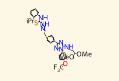 COC(CCNc1nc(-c2ccc(C/C=N/NC(=S)Nc3ccccc3C(C)C)cc2)nn1-c1ccc(OC(F)(F)F)cc1)OC